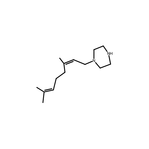 CC(C)=CCCC(C)=CCN1CCNCC1